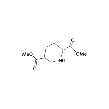 COC(=O)C1CCC(C(=O)OC)NC1